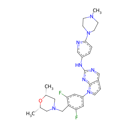 C[C@@H]1CN(Cc2c(F)cc(-n3ccc4cnc(Nc5ccc(N6CCN(C)CC6)nc5)nc43)cc2F)C[C@H](C)O1